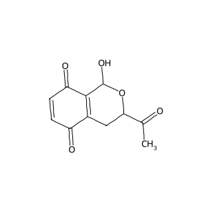 CC(=O)C1CC2=C(C(=O)C=CC2=O)C(O)O1